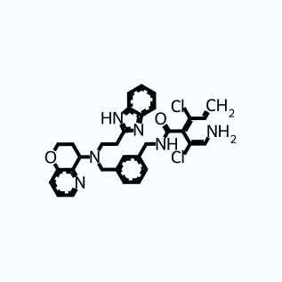 C=C/C(Cl)=C(C(=O)NCc1cccc(CN(CCc2nc3ccccc3[nH]2)C2CCOc3cccnc32)c1)\C(Cl)=C/N